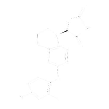 [C-]#[N+]c1ccc(Oc2ccc3c(c2)CCC[C@H]3C2SC(=O)NC2=O)c(Cl)c1